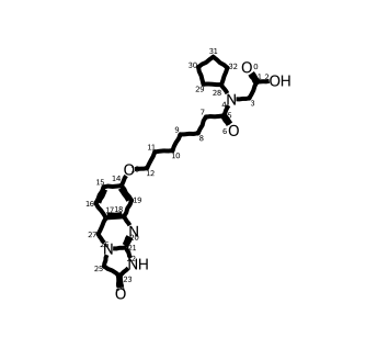 O=C(O)CN(C(=O)CCCCCCOc1ccc2c(c1)N=C1NC(=O)CN1C2)C1CCCC1